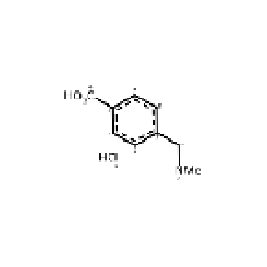 CNCc1ccc(C(=O)O)cc1.Cl